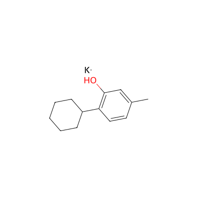 Cc1ccc(C2CCCCC2)c(O)c1.[K]